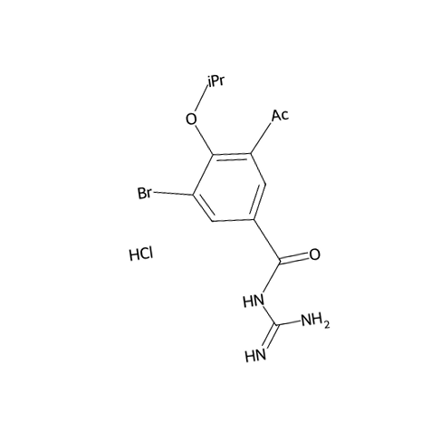 CC(=O)c1cc(C(=O)NC(=N)N)cc(Br)c1OC(C)C.Cl